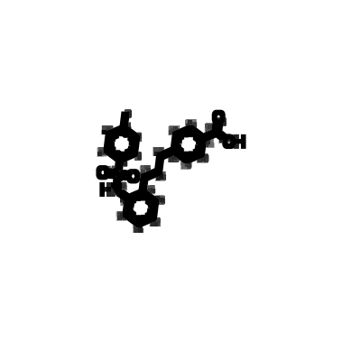 Cc1ccc(S(=O)(=O)Nc2ccccc2CCCc2ccc(C(=O)O)cc2)cc1